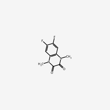 Cn1c(=O)c(=O)n(C)c2cc(F)c(F)cc21